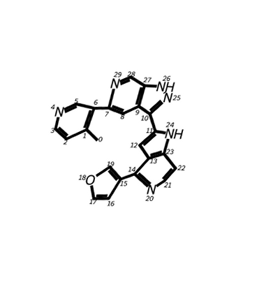 Cc1ccncc1-c1cc2c(-c3cc4c(-c5ccoc5)nccc4[nH]3)n[nH]c2cn1